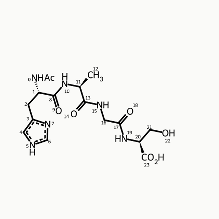 CC(=O)N[C@@H](Cc1c[nH]cn1)C(=O)N[C@@H](C)C(=O)NCC(=O)N[C@@H](CO)C(=O)O